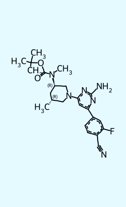 C[C@@H]1C[C@@H](N(C)C(=O)OC(C)(C)C)CN(c2cc(-c3ccc(C#N)c(F)c3)nc(N)n2)C1